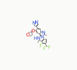 Cc1nc(N[C@H](C)c2cccc(C(F)F)c2F)c2cc(OC3CCOC3)c(-c3cnn(C)c3)cc2n1